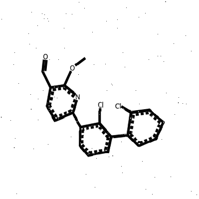 COc1nc(-c2cccc(-c3ccccc3Cl)c2Cl)ccc1C=O